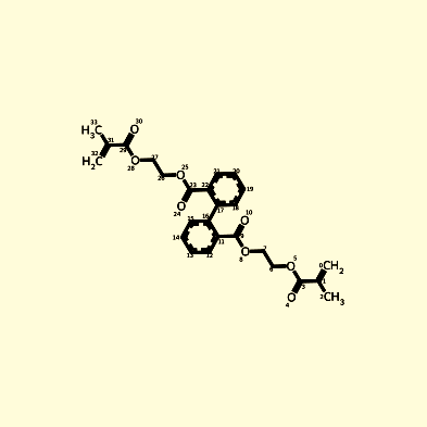 C=C(C)C(=O)OCCOC(=O)c1ccccc1-c1ccccc1C(=O)OCCOC(=O)C(=C)C